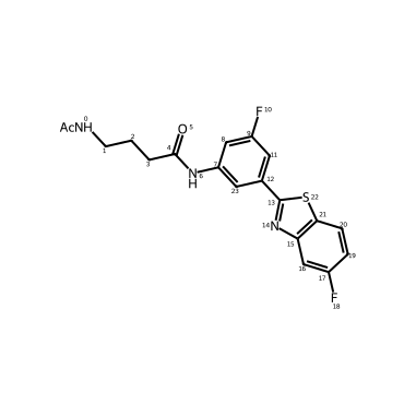 CC(=O)NCCCC(=O)Nc1cc(F)cc(-c2nc3cc(F)ccc3s2)c1